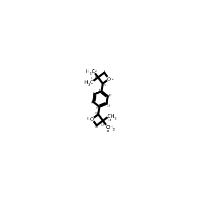 CC1(C)COC1c1ccc(C2OCC2(C)C)cc1